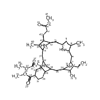 C=CC1C2CC3NC(CC3C)CC3NC(CC4NC(CC(N2)C1C)C1CCC(C(=O)OC)[C@H](C(=O)OC)[C@]41C)C(C)C3CCC(=O)OC